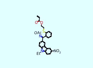 C=CC(=O)OCCSc1ccccc1/C(=N\OC(C)=O)c1ccc2c(c1)c1cc([N+](=O)[O-])ccc1n2CC